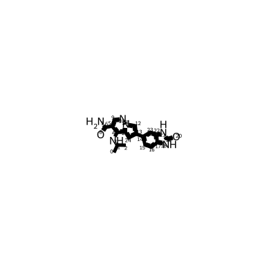 CC(C)Nc1c(C(N)=O)cnn2cc(-c3ccc4[nH]c(=O)[nH]c4c3)cc12